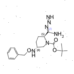 CC(C)(C)OC(=O)N1C[C@H](NOCc2ccccc2)CC[C@H]1/C(N)=N/N=N